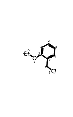 C[CH]Oc1ccccc1CCl